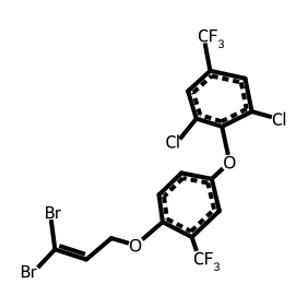 FC(F)(F)c1cc(Cl)c(Oc2ccc(OCC=C(Br)Br)c(C(F)(F)F)c2)c(Cl)c1